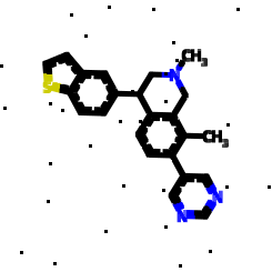 Cc1c(-c2cncnc2)ccc2c1CN(C)CC2c1ccc2sccc2c1